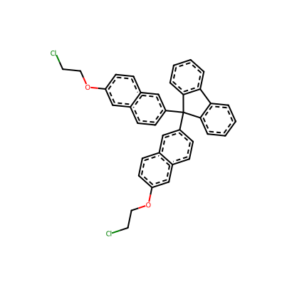 ClCCOc1ccc2cc(C3(c4ccc5cc(OCCCl)ccc5c4)c4ccccc4-c4ccccc43)ccc2c1